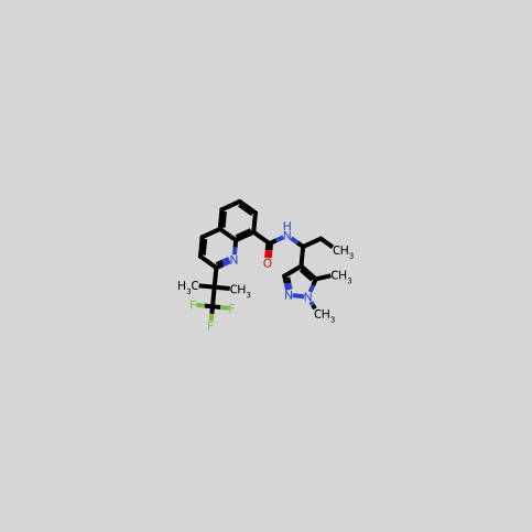 CCC(NC(=O)c1cccc2ccc(C(C)(C)C(F)(F)F)nc12)c1cnn(C)c1C